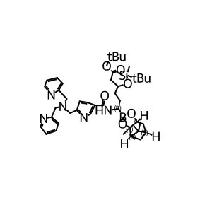 CC(C)(C)OC(=O)CC(CC[C@H](NC(=O)c1ccc(CN(Cc2ccccn2)Cc2ccccn2)nc1)B1O[C@@H]2C[C@@H]3C[C@@H](C3(C)C)[C@]2(C)O1)O[Si](C)(C)C(C)(C)C